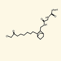 CCCCCC(=O)NCC(=O)NCC1C2CCC(O2)C1CCCCCCC(=O)CCl